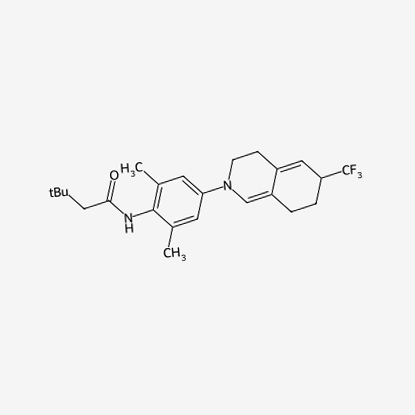 Cc1cc(N2C=C3CCC(C(F)(F)F)C=C3CC2)cc(C)c1NC(=O)CC(C)(C)C